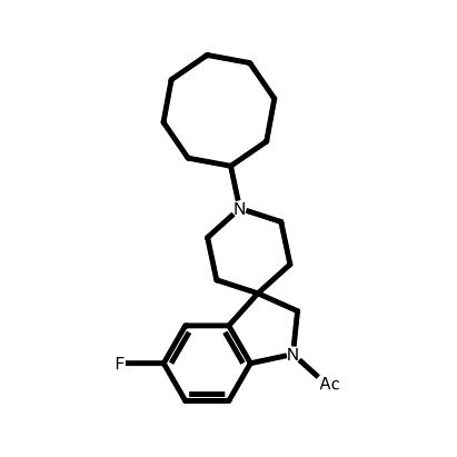 CC(=O)N1CC2(CCN(C3CCCCCCC3)CC2)c2cc(F)ccc21